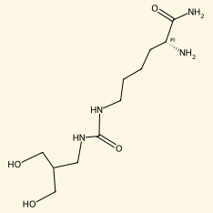 NC(=O)[C@H](N)CCCCNC(=O)NCC(CO)CO